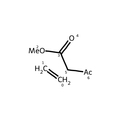 C=C.COC(=O)CC(C)=O